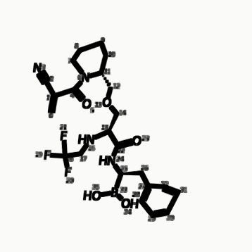 C=C(C#N)C(=O)N1CCCC[C@@H]1COC[C@H](NCC(F)(F)F)C(=O)N[C@@H](Cc1ccccc1)B(O)O